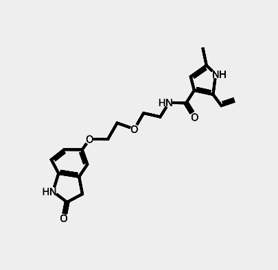 C=Cc1[nH]c(C)cc1C(=O)NCCOCCOc1ccc2c(c1)CC(=O)N2